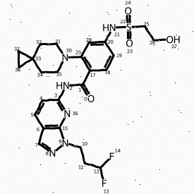 O=C(Nc1ccc2cnn(CCC(F)F)c2n1)c1ccc(NS(=O)(=O)CCO)cc1N1CCC2(CC1)CC2